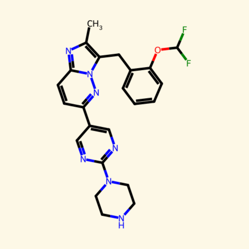 Cc1nc2ccc(-c3cnc(N4CCNCC4)nc3)nn2c1Cc1ccccc1OC(F)F